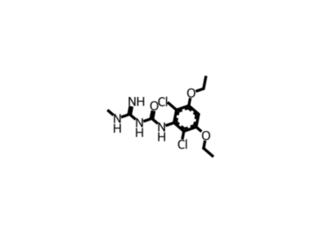 CCOc1cc(OCC)c(Cl)c(NC(=O)NC(=N)NC)c1Cl